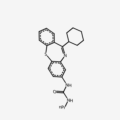 CCCNC(=O)Nc1ccc2c(c1)N=C(C1CCCCC1)c1ccccc1S2